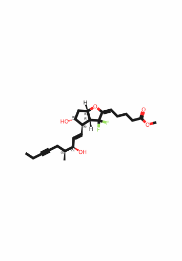 CCC#CC[C@H](C)[C@H](O)C=C[C@@H]1[C@@H]2[C@H](C[C@H]1O)OC(=CCCCC(=O)OC)C2(F)F